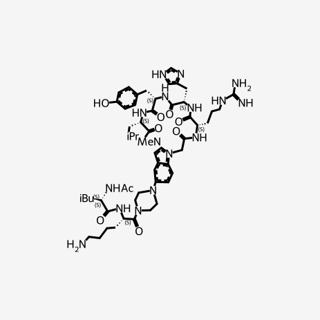 CC[C@H](C)[C@H](NC(C)=O)C(=O)N[C@@H](CCCCN)C(=O)N1CCN(c2ccc3c(ccn3CC(=O)N[C@@H](CCCNC(=N)N)C(=O)N[C@@H](Cc3c[nH]cn3)C(=O)N[C@@H](Cc3ccc(O)cc3)C(=O)N[C@@H](CC(C)C)C(=O)NC)c2)CC1